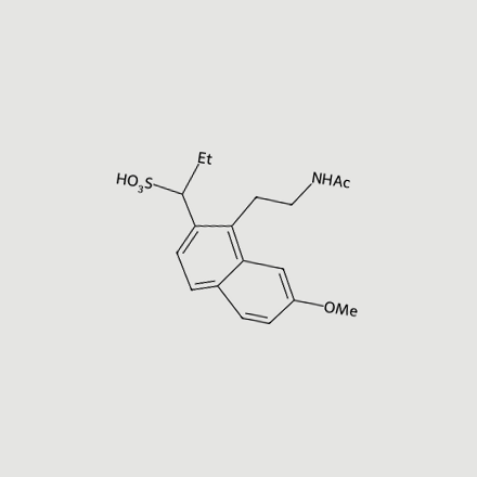 CCC(c1ccc2ccc(OC)cc2c1CCNC(C)=O)S(=O)(=O)O